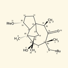 CCCCS[C@]1(C)C[C@@H](O)[C@@]2(C)C3[C@H](OC)CCC3(CC[C@H]2C)[C@@H](C)C1=O